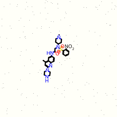 Cc1cc(N2CCNCC2)nc2ccc(NC(=O)CN(C3CCN(C)CC3)S(=O)(=O)c3ccccc3[N+](=O)[O-])cc12